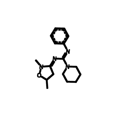 CC1CC(=NC(=Nc2ccccc2)N2CCCCC2)N(C)O1